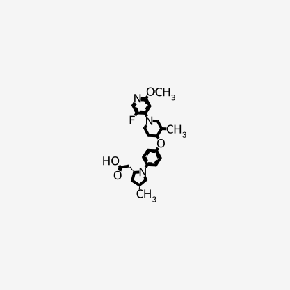 COc1cc(N2CCC(Oc3ccc(N4C[C@H](C)C[C@@H]4CC(=O)O)cc3)C(C)C2)c(F)cn1